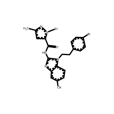 CCn1nc(C)cc1C(=O)Nc1nc2cc(C#N)ccc2n1CCc1ccc(Br)cc1